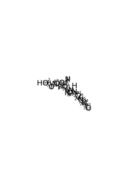 CC(C)(O)CC(=O)N1CC[C@H](Oc2ccc(-c3nccc(Nc4ccc(N5CCN(C6COC6)CC5)cc4)n3)cc2C#N)[C@H](F)C1